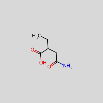 CCC(CC(N)=O)C(=O)O